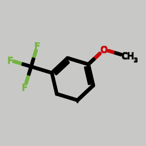 COC1=C[CH]CC(C(F)(F)F)=C1